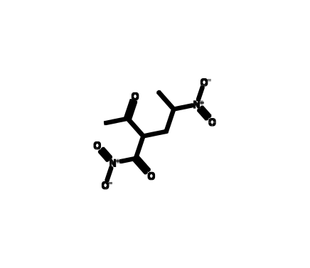 CC(=O)C(CC(C)[N+](=O)[O-])C(=O)[N+](=O)[O-]